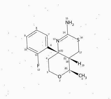 C[C@H]1OCC[C@]2(c3ccccc3F)N=C(N)SC[C@H]12